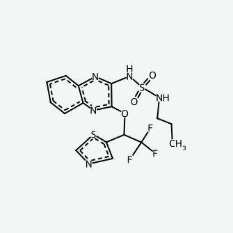 CCCNS(=O)(=O)Nc1nc2ccccc2nc1OC(c1cncs1)C(F)(F)F